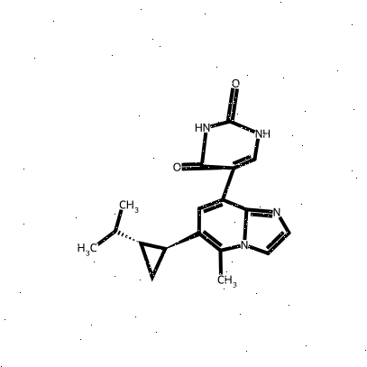 Cc1c([C@H]2C[C@@H]2C(C)C)cc(-c2c[nH]c(=O)[nH]c2=O)c2nccn12